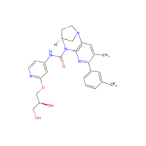 Cc1cc2c(nc1-c1cccc(C(F)(F)F)c1)N(C(=O)Nc1ccnc(OC[C@@H](O)CO)c1)[C@H]1CCN2C1